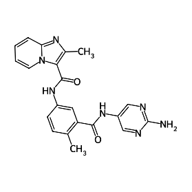 Cc1ccc(NC(=O)c2c(C)nc3ccccn23)cc1C(=O)Nc1cnc(N)nc1